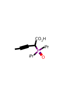 CC#CC(C(=O)O)P(=O)(C(C)C)C(C)C